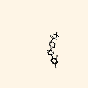 CC(C)(C)OC(=O)N1CCN(c2nc(-c3ccc(F)cc3F)cs2)CC1